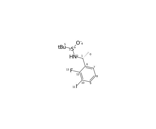 C[C@@H](N[S+]([O-])C(C)(C)C)c1cccc(I)c1F